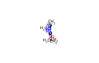 CNc1nc(SC)ncc1CNC1CC2CC1CN2C(=O)OC(C)(C)C